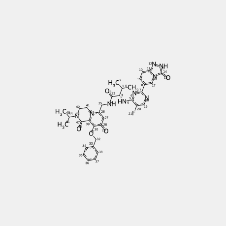 CC(C)[C@H](Nc1nc(-c2ccc3n[nH]c(=O)n3c2)ncc1F)C(=O)NCc1cc(=O)c(OCc2ccccc2)c2n1CCN(C(C)C)C2=O